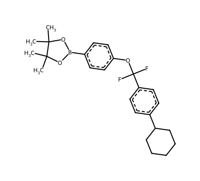 CC1(C)OB(c2ccc(OC(F)(F)c3ccc(C4CCCCC4)cc3)cc2)OC1(C)C